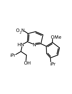 COc1ccc(C(C)C)cc1-c1ccc([N+](=O)[O-])c(NC(CO)C(C)C)n1